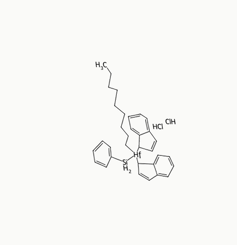 CCCCCCCC[CH2][Hf]([SiH2]c1ccccc1)([CH]1C=Cc2ccccc21)[CH]1C=Cc2ccccc21.Cl.Cl